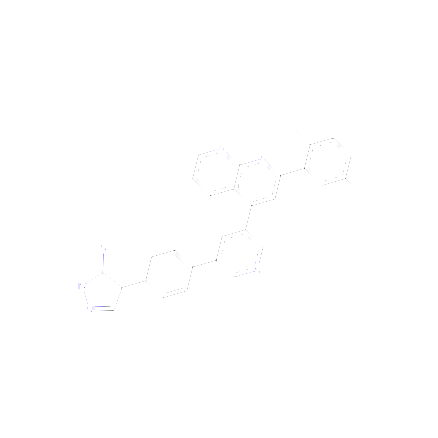 NC1NN=CC1C1C=CC(c2cncc(-c3cc(-c4cc(F)ccc4F)nc4ncccc34)c2)=CC1